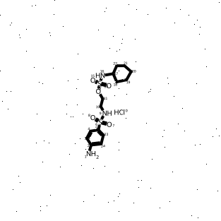 Cl.Nc1ccc(S(=O)(=O)NCCOS(=O)(=O)NC2CCCCC2)cc1